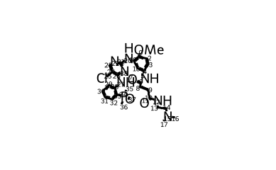 COc1ccc(NC(=O)/C=C/C(=O)NCCN(C)C)cc1Nc1ncc(Cl)c(Nc2ccccc2P(C)(C)=O)n1